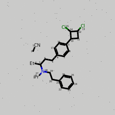 CC#N.CCC(CCc1ccc(C2CC(Cl)C2Cl)cc1)N(CCc1ccccc1)C(C)C